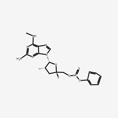 CNc1nc(N)nc2c1ncn2[C@@H]1O[C@](F)(CO[PH](=S)Oc2ccccc2)C[C@@H]1C